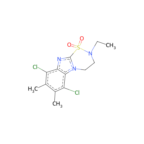 CCN1CCn2c(nc3c(Cl)c(C)c(C)c(Cl)c32)S1(=O)=O